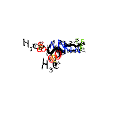 CCS(=O)(=O)c1cc(OCS(C)(=O)=O)cnc1-c1cn2cnc(C(F)(F)F)cc2n1